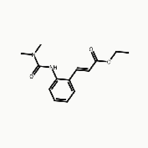 CCOC(=O)C=Cc1ccccc1NC(=O)N(C)C